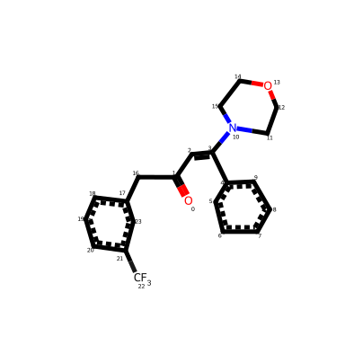 O=C(/C=C(\c1ccccc1)N1CCOCC1)Cc1cccc(C(F)(F)F)c1